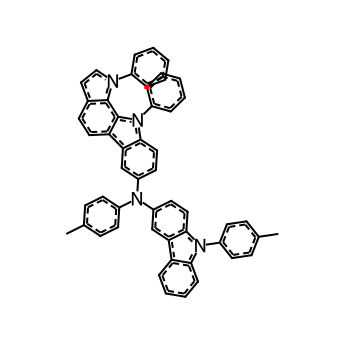 Cc1ccc(N(c2ccc3c(c2)c2ccccc2n3-c2ccc(C)cc2)c2ccc3c(c2)c2ccc4ccn(-c5ccccc5)c4c2n3-c2ccccc2)cc1